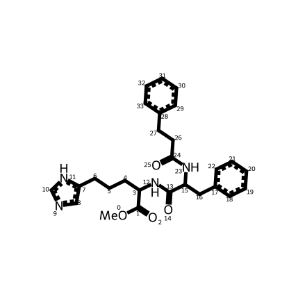 COC(=O)C(CCCc1cnc[nH]1)NC(=O)C(Cc1ccccc1)NC(=O)CCc1ccccc1